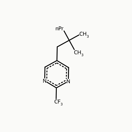 CCCC(C)(C)Cc1cnc(C(F)(F)F)nc1